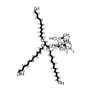 C=C(C)C(=O)O.C=C(C)C(=O)O.C=C(C)C(=O)O.OCCCCCCCCCCCCOCC(COCCCCCCCCCCCCO)OCCCCCCCCCCCCO